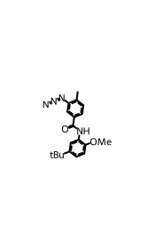 COc1ccc(C(C)(C)C)cc1NC(=O)c1ccc(C)c(N=[N+]=[N-])c1